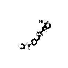 N#Cc1nccc2oc(-c3nc(CC4CCN(C(=O)O[C@H]5CCOC5)CC4)no3)cc12